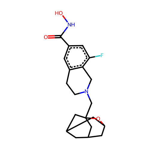 O=C(NO)c1cc(F)c2c(c1)CCN(CC13CC4CC(CC(C4)O1)C3)C2